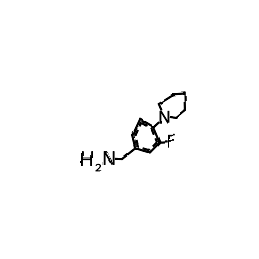 NCc1ccc(N2CCCCC2)c(F)c1